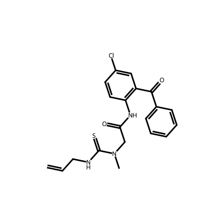 C=CCNC(=S)N(C)CC(=O)Nc1ccc(Cl)cc1C(=O)c1ccccc1